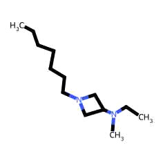 CCCCCCCN1CC(N(C)CC)C1